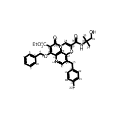 CCOC(=O)c1c(OCc2ccccc2)c2ncc(Cc3ccc(F)cc3)c3c2n(c1=O)C=C(C(=O)NC(C)(C)CO)O3